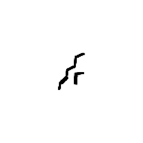 C=CC.CC=CCCCC